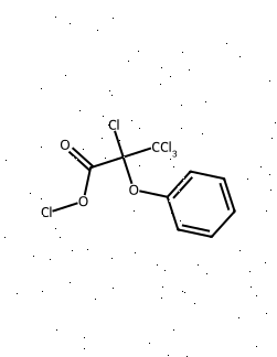 O=C(OCl)C(Cl)(Oc1ccccc1)C(Cl)(Cl)Cl